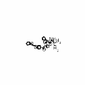 CC[C@H](C)[C@H](N)C(=O)N(Cc1ccccc1)C(=O)[C@@H]1CCCN1CC(=O)c1ccc(OCCOc2ccccc2)cc1